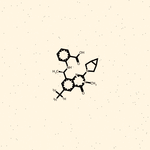 [2H]C([2H])([2H])c1cc([C@@H](C)Nc2ccccc2C(=O)O)c2nc(N3CC4CC4C3)n(C)c(=O)c2c1